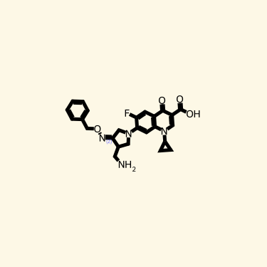 NCC1CN(c2cc3c(cc2F)c(=O)c(C(=O)O)cn3C2CC2)C/C1=N\OCc1ccccc1